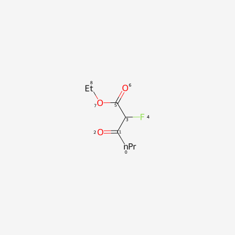 CCCC(=O)C(F)C(=O)OCC